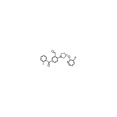 Cc1ccccc1C(=O)c1ccc(N2CC[C@H](Oc3ncccc3F)C2)c(C=O)c1